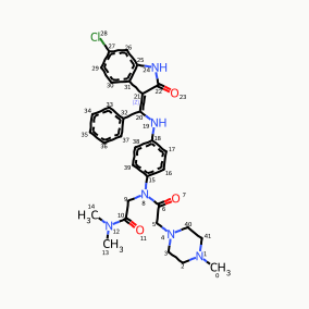 CN1CCN(CC(=O)N(CC(=O)N(C)C)c2ccc(N/C(=C3\C(=O)Nc4cc(Cl)ccc43)c3ccccc3)cc2)CC1